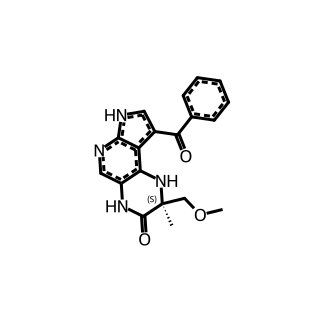 COC[C@]1(C)Nc2c(cnc3[nH]cc(C(=O)c4ccccc4)c23)NC1=O